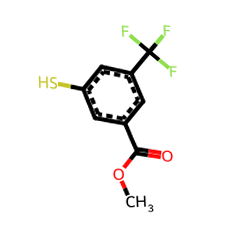 COC(=O)c1cc(S)cc(C(F)(F)F)c1